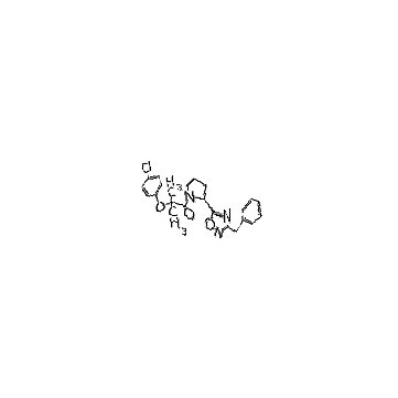 CC(C)(Oc1ccc(Cl)cc1)C(=O)N1CCC[C@H]1c1nc(Cc2ccccc2)no1